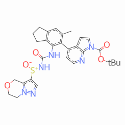 Cc1cc2c(c(NC(=O)N[S+]([O-])c3cnn4c3COCC4)c1-c1ccnc3c1ccn3C(=O)OC(C)(C)C)CCC2